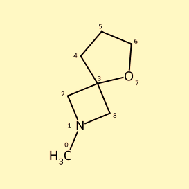 CN1CC2(CCCO2)C1